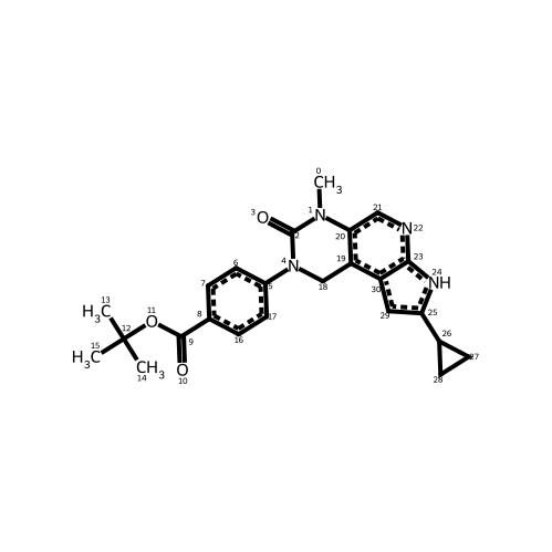 CN1C(=O)N(c2ccc(C(=O)OC(C)(C)C)cc2)Cc2c1cnc1[nH]c(C3CC3)cc21